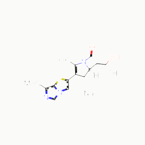 CSc1ncn2cc(C3=C(C(=O)[O-])N4C(=O)[C@H]([C@@H](C)O)[C@H]4C3)sc12.[Na+]